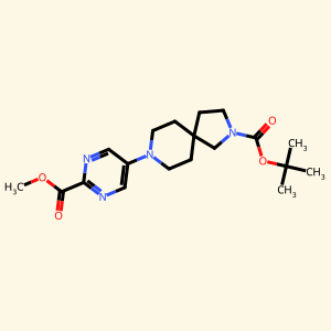 COC(=O)c1ncc(N2CCC3(CCN(C(=O)OC(C)(C)C)C3)CC2)cn1